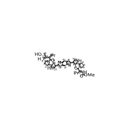 COC(=O)N[C@H](C(=O)N1CCC[C@H]1c1nc(-c2nc3cc4sc(-c5c[nH]c([C@@H]6CCCN6C(=O)[C@H](C(C)C)N(C)C(=O)O)n5)nc4cc3s2)c[nH]1)C(C)C